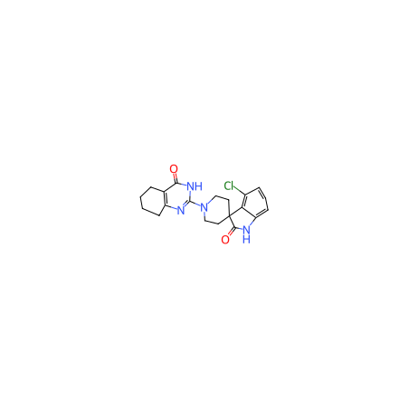 O=C1Nc2cccc(Cl)c2C12CCN(c1nc3c(c(=O)[nH]1)CCCC3)CC2